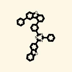 c1ccc(-c2ccc3oc4cccc(-c5cccc(-c6nc(-c7ccccc7)nc(-c7ccc8c(c7)oc7ccccc78)n6)c5)c4c3c2)cc1